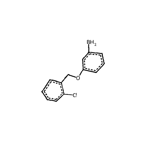 Bc1cccc(OCc2ccccc2Cl)c1